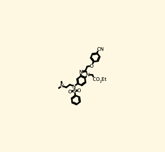 CCOC(=O)Cn1c(COc2ccc(C#N)cc2)nc2cc(N(CCN(C)C)S(=O)(=O)c3ccccc3)ccc21